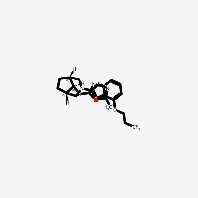 Cc1nsc(N2C[C@H]3CC[C@@H](C2)[C@@H]3Nc2nc3c(OCCC(F)(F)F)cccn3n2)n1